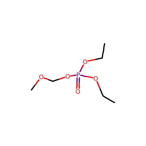 CCOP(=O)(OCC)OCOC